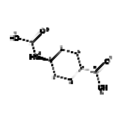 O=C(O)N[C@H]1CC[C@H](C(=O)O)CC1